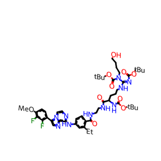 CCc1cc(Nc2nccn3c(-c4ccc(OC)c(F)c4F)cnc23)ccc1C(=O)NCCNC(=O)C(CCCN/C(=N/C(=O)OC(C)(C)C)N(CCCCO)C(=O)OC(C)(C)C)NC(=O)OC(C)(C)C